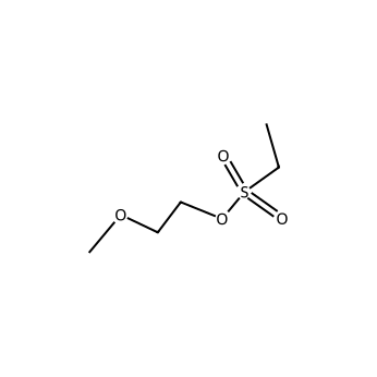 CCS(=O)(=O)OCCOC